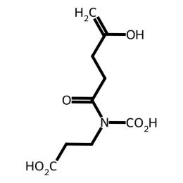 C=C(O)CCC(=O)N(CCC(=O)O)C(=O)O